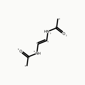 CC(=O)N/C=C/NC(C)=O